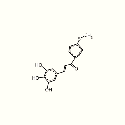 CSc1ccc(C(=O)C=Cc2cc(O)c(O)c(O)c2)cc1